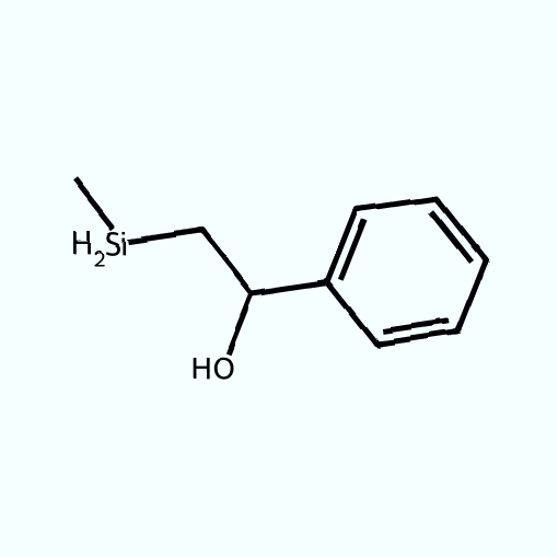 C[SiH2]CC(O)c1ccccc1